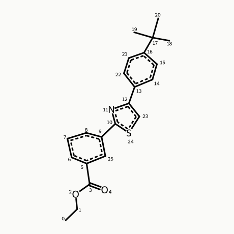 CCOC(=O)c1cccc(-c2nc(-c3ccc(C(C)(C)C)cc3)cs2)c1